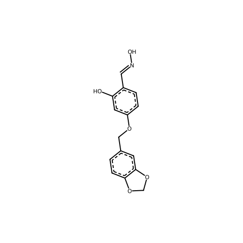 ON=Cc1ccc(OCc2ccc3c(c2)OCO3)cc1O